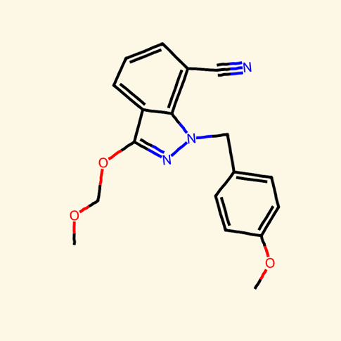 COCOc1nn(Cc2ccc(OC)cc2)c2c(C#N)cccc12